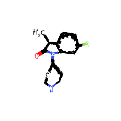 CC1C(=O)N(C2CCNCC2)c2cc(F)ccc21